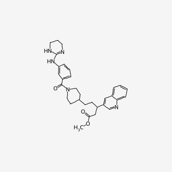 COC(=O)CC(CCC1CCN(C(=O)c2cccc(NC3=NCCCN3)c2)CC1)c1cnc2ccccc2c1